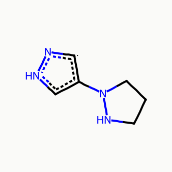 [c]1n[nH]cc1N1CCCN1